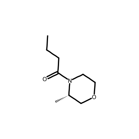 CCCC(=O)N1CCOC[C@@H]1C